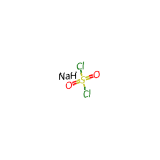 O=S(=O)(Cl)Cl.[NaH]